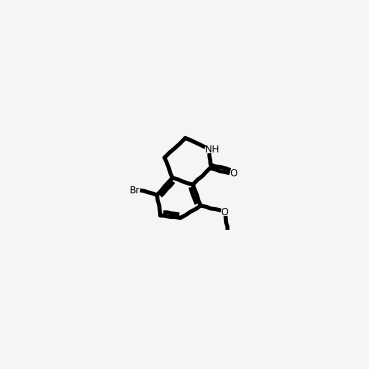 COc1ccc(Br)c2c1C(=O)NCC2